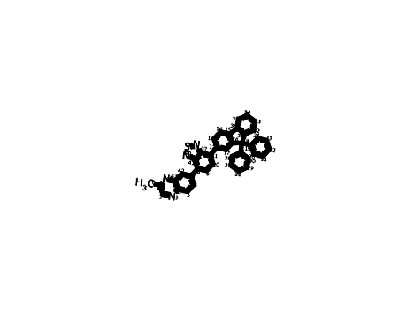 Cc1cnc2ccc(-c3ccc(-c4ccc5c(c4)C(c4ccccc4)(c4ccccc4)c4ccccc4-5)c4nsnc34)cc2n1